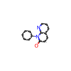 O=c1[c]cc2cccnc2n1-c1ccccc1